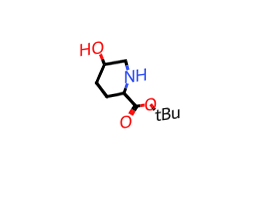 CC(C)(C)OC(=O)C1CCC(O)CN1